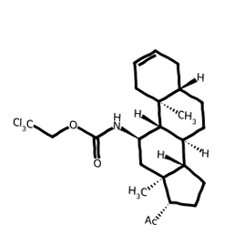 CC(=O)[C@H]1CC[C@H]2[C@@H]3CC[C@H]4CC=CC[C@]4(C)[C@H]3[C@H](NC(=O)OCC(Cl)(Cl)Cl)C[C@]12C